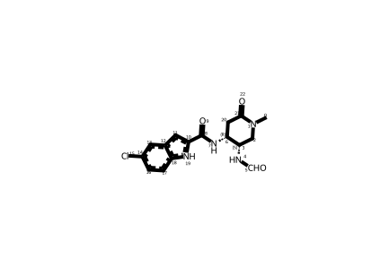 CN1C[C@H](NC=O)[C@H](NC(=O)c2cc3cc(Cl)ccc3[nH]2)CC1=O